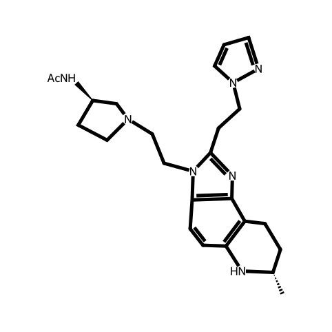 CC(=O)N[C@@H]1CCN(CCn2c(CCn3cccn3)nc3c4c(ccc32)N[C@@H](C)CC4)C1